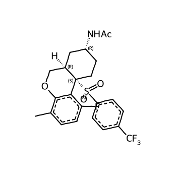 CC(=O)N[C@@H]1CC[C@@]2(S(=O)(=O)c3ccc(C(F)(F)F)cc3)c3c(F)ccc(C)c3OC[C@H]2C1